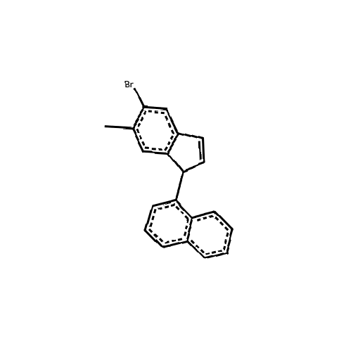 Cc1cc2c(cc1Br)C=CC2c1cccc2ccccc12